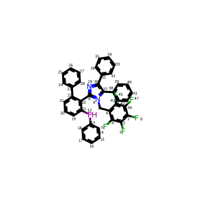 Fc1c(F)c(F)c(Cn2c(-c3c(Pc4ccccc4)cccc3-c3ccccc3)nc(-c3ccccc3)c2-c2ccccc2)c(F)c1F